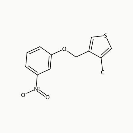 O=[N+]([O-])c1cccc(OCc2cscc2Cl)c1